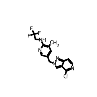 Cc1cc(Cn2cc3c(Cl)nccc3n2)cnc1NCC(F)(F)F